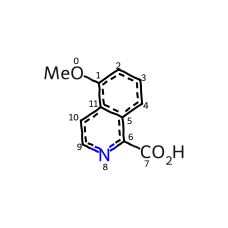 COc1cccc2c(C(=O)O)nccc12